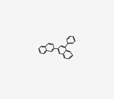 c1ccc(-c2cc(-c3ccc4ccccc4c3)cc3ccccc23)cc1